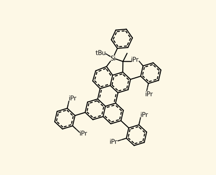 CC(C)c1cccc(C(C)C)c1-c1cc2cc(-c3c(C(C)C)cccc3C(C)C)cc3c4cc(-c5c(C(C)C)cccc5C(C)C)c5c6c(ccc(c(c1)c23)c64)[Si](c1ccccc1)(C(C)(C)C)C5(C)C